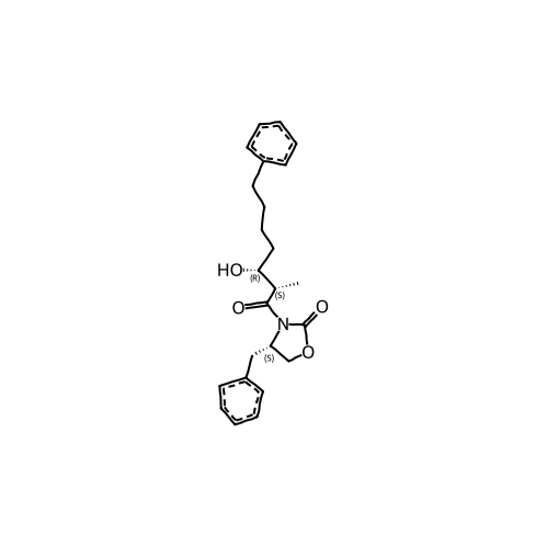 C[C@H](C(=O)N1C(=O)OC[C@@H]1Cc1ccccc1)[C@H](O)CCCCc1ccccc1